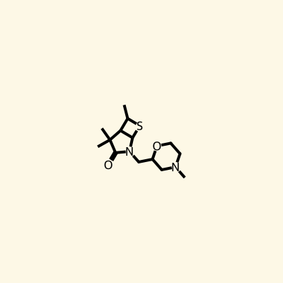 CC1SC2C1C(C)(C)C(=O)N2CC1CN(C)CCO1